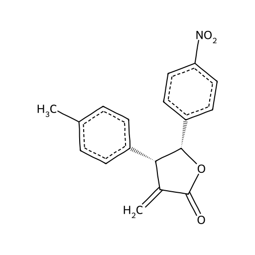 C=C1C(=O)O[C@@H](c2ccc([N+](=O)[O-])cc2)[C@H]1c1ccc(C)cc1